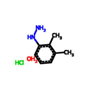 Cc1cccc(NN)c1C.Cl.O